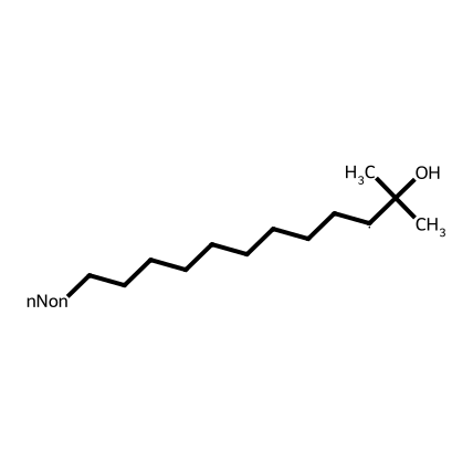 CCCCCCCCCCCCCCCCCC[CH]C(C)(C)O